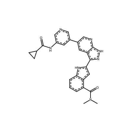 CN(C)C(=O)c1cccc2[nH]c(-c3n[nH]c4ncc(-c5cncc(NC(=O)C6CC6)c5)cc34)cc12